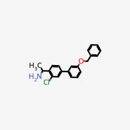 C[C](N)c1ccc(-c2cccc(OCc3ccccc3)c2)cc1Cl